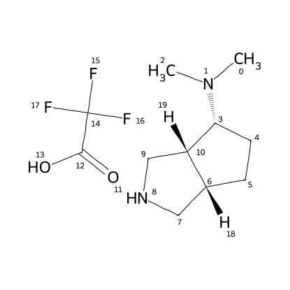 CN(C)[C@@H]1CC[C@@H]2CNC[C@@H]21.O=C(O)C(F)(F)F